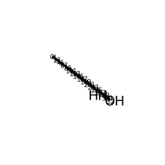 CCCCCCCCCCCCCCCCCCCCCCCCCCC=CNCCCO